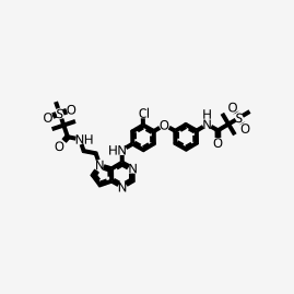 CC(C)(C(=O)NCCn1ccc2ncnc(Nc3ccc(Oc4cccc(NC(=O)C(C)(C)S(C)(=O)=O)c4)c(Cl)c3)c21)S(C)(=O)=O